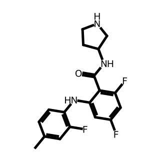 Cc1ccc(Nc2cc(F)cc(F)c2C(=O)NC2CCNC2)c(F)c1